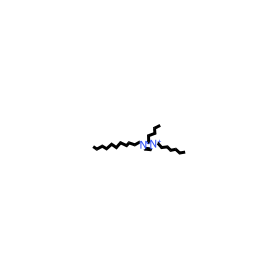 CCCCCCCCCCCn1cc[n+](CCCCCCC)c1CCCC